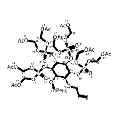 C=CCO[C@H]1[C@@H](OCCCCC)[C@@H](OP(=O)(OCOC(C)=O)OCOC(C)=O)[C@H](OP(=O)(OCOC(C)=O)OCOC(C)=O)[C@@H](OP(=O)(OCOC(C)=O)OCOC(C)=O)[C@@H]1OP(=O)(OCOC(C)=O)OCOC(C)=O